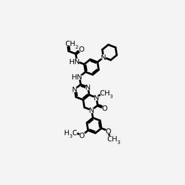 C=CC(=O)Nc1cc(N2CCCCC2)ccc1Nc1ncc2c(n1)N(C)C(=O)N(c1cc(OC)cc(OC)c1)C2